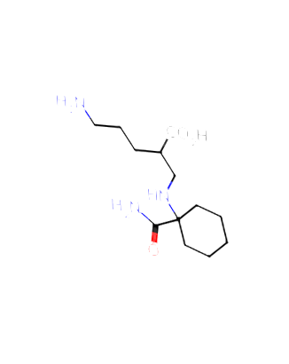 NCCCC(CNC1(C(N)=O)CCCCC1)C(=O)O